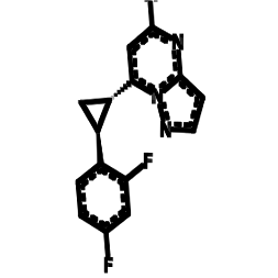 Fc1ccc([C@H]2C[C@@H]2c2cc(Br)nc3ccnn23)c(F)c1